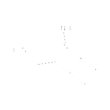 NCC1C2CCC2N1N